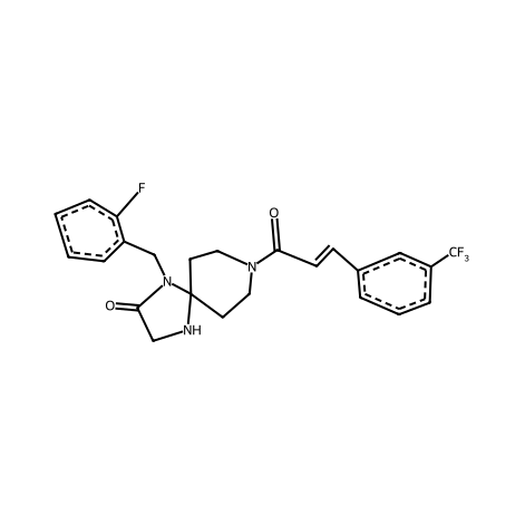 O=C(C=Cc1cccc(C(F)(F)F)c1)N1CCC2(CC1)NCC(=O)N2Cc1ccccc1F